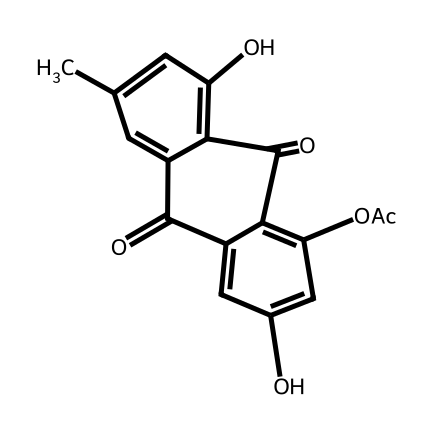 CC(=O)Oc1cc(O)cc2c1C(=O)c1c(O)cc(C)cc1C2=O